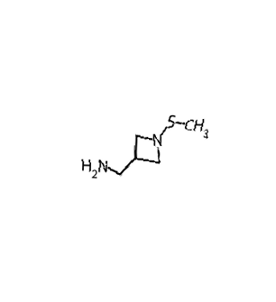 CSN1CC(CN)C1